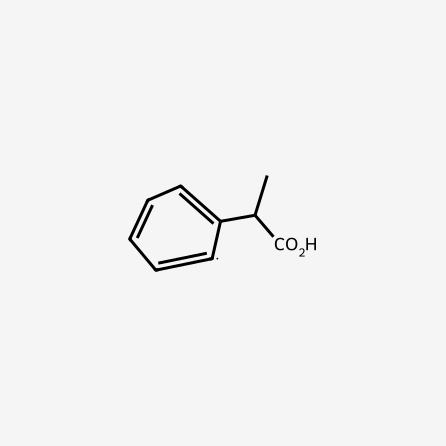 CC(C(=O)O)c1[c]cccc1